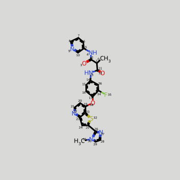 CC(C(=O)Nc1cccnc1)C(=O)Nc1ccc(Oc2ccnc3cc(-c4nccn4C)sc23)c(F)c1